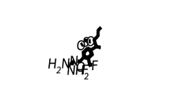 CCCCC(C)c1cc(C(F)F)c(C(=O)N=C(N)N)cc1S(C)(=O)=O